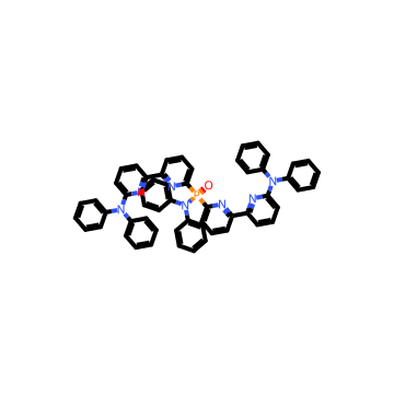 O=P(c1cccc(-c2cccc(N(c3ccccc3)c3ccccc3)n2)n1)(c1cccc(-c2cccc(N(c3ccccc3)c3ccccc3)n2)n1)N(c1ccccc1)c1ccccc1